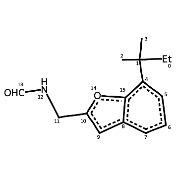 CCC(C)(C)c1cccc2cc(CNC=O)oc12